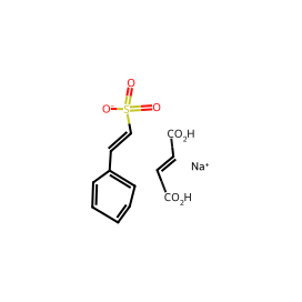 O=C(O)C=CC(=O)O.O=S(=O)([O-])C=Cc1ccccc1.[Na+]